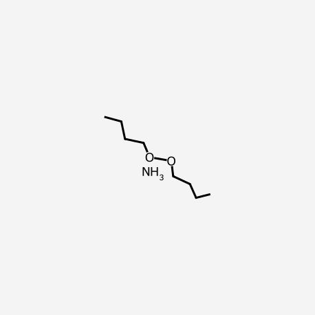 CCCCOOCCCC.N